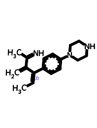 C=C(C(C)=N)/C(=C\C)c1ccc(N2CCNCC2)cc1